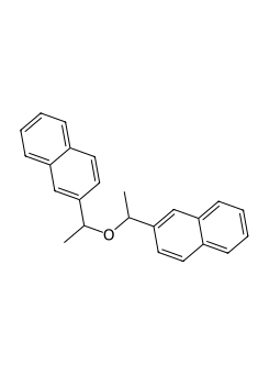 CC(OC(C)c1ccc2ccccc2c1)c1ccc2ccccc2c1